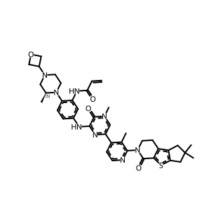 C=CC(=O)Nc1cc(Nc2nc(-c3ccnc(N4CCc5c(sc6c5CC(C)(C)C6)C4=O)c3C)cn(C)c2=O)ccc1N1CCN(C2COC2)C[C@@H]1C